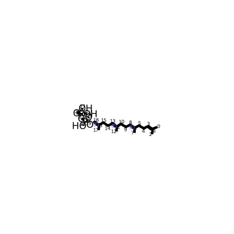 CC(C)=CCC/C(C)=C/CC/C(C)=C/CC/C(C)=C/OP(=O)(O)OP(=O)(O)O